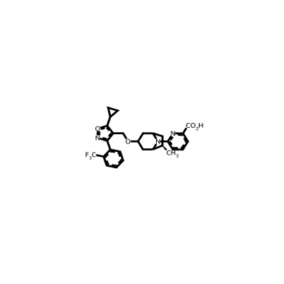 C[C@@H]1CC2CC(OCc3c(-c4ccccc4C(F)(F)F)noc3C3CC3)CC1N2c1cccc(C(=O)O)n1